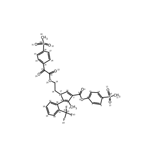 Cc1c(C(=O)Oc2ccc(S(C)(=O)=O)cc2)cn(CCOC(=O)C(=O)c2ccc(S(C)(=O)=O)cc2)c1-c1ccccc1C(F)(F)F